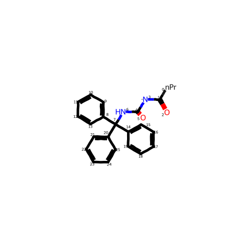 CCCC(=O)[N]C(=O)NC(c1ccccc1)(c1ccccc1)c1ccccc1